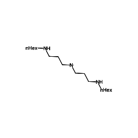 CCCCCCNCCC[N]CCCNCCCCCC